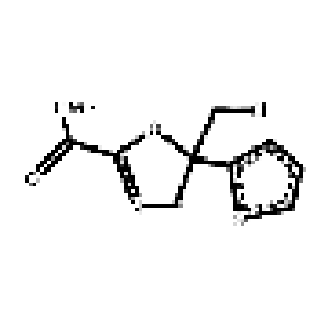 COC(=O)C1=N[CH]C(CCl)(c2cccs2)O1